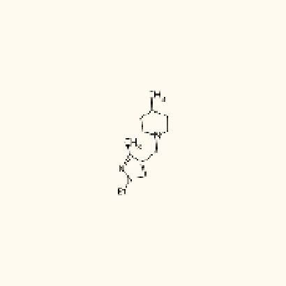 CCn1cc(CN2CCC(C)CC2)c(C)n1